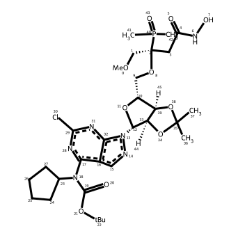 COC[C@](CC(=O)NO)(OC[C@H]1O[C@@H](n2ncc3c(N(C(=O)OC(C)(C)C)C4CCCC4)nc(Cl)nc32)[C@@H]2OC(C)(C)O[C@@H]21)P(C)(C)=O